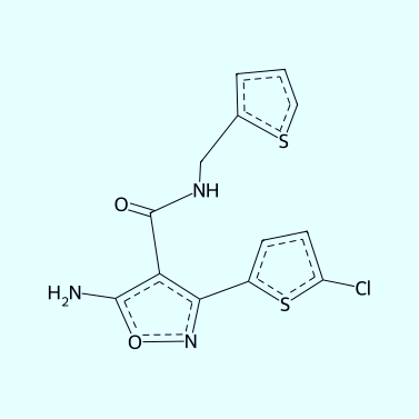 Nc1onc(-c2ccc(Cl)s2)c1C(=O)NCc1cccs1